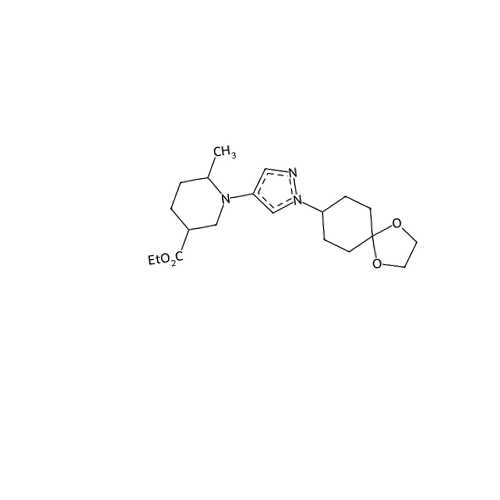 CCOC(=O)C1CCC(C)N(c2cnn(C3CCC4(CC3)OCCO4)c2)C1